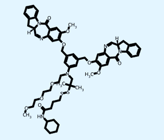 COCCOCCOCCN(CC(C)(C)SSCCCC(=O)NC1CCCCC1)c1cc(COc2cc3c(cc2OC)C(=O)N2c4ccccc4C[C@H]2C=N3)cc(COc2cc3c(cc2OC)C(=O)N2c4ccccc4C[C@H]2C=N3)c1